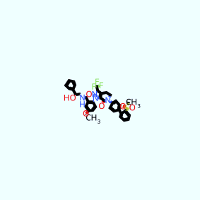 COc1ccc(-n2nc(C(F)(F)F)c3c2C(=O)N(c2ccc(-c4ccccc4S(C)(=O)=O)cc2)CC3)c(C(=O)NCC(O)c2ccccc2)c1